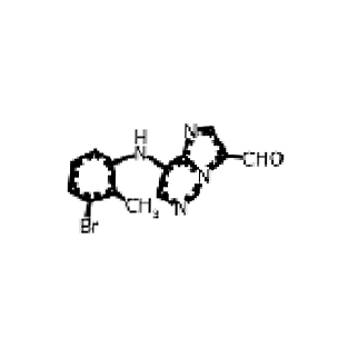 Cc1c(Br)cccc1Nc1cncn2c(C=O)cnc12